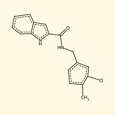 Cc1ccc(CNC(=O)c2cc3ccccc3[nH]2)cc1Cl